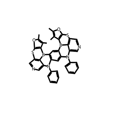 Cc1oc2c(c1C)B1c3cc4c(cc3N(c3ccccc3)c3cncc(c31)S2)N(c1ccccc1)c1cncc2c1B4c1c(oc(C)c1C)S2